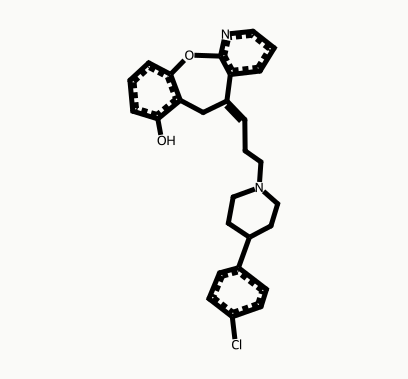 Oc1cccc2c1CC(=CCCN1CCC(c3ccc(Cl)cc3)CC1)c1cccnc1O2